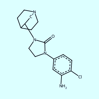 Nc1cc(N2CCN(C3CN4CCC3CC4)C2=O)ccc1Cl